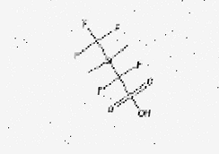 C[Si](C)(C(F)(F)F)C(F)(F)S(=O)(=O)O